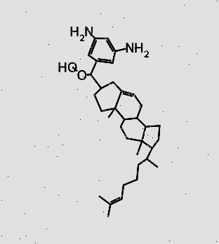 CC(C)=CCCCC(C)C1CCC2C3CC=C4CC(C(OO)c5cc(N)cc(N)c5)CCC4(C)C3CCC12C